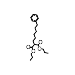 CCCOC(=O)C(CCCCCCc1ccccc1)C(=O)OCCC